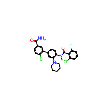 CN(C(=O)c1c(F)cccc1Cl)c1ccc(-c2cc(C(N)=O)ccc2Cl)cc1N1CCCCC1